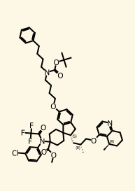 COC(=O)C1(N(C(=O)C(F)(F)F)c2cccc(Cl)c2)CCC2(CC1)c1cc(OCCCCN(CCCCc3ccccc3)C(=O)OC(C)(C)C)ccc1C[C@@H]2C[C@@H](C)COc1ccnc2c1[C@H](C)CCC2